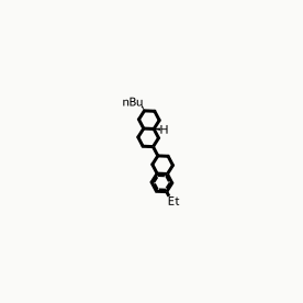 CCCC[C@@H]1CC[C@@H]2CC(C3CCc4cc(CC)ccc4C3)CCC2C1